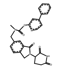 CN(Cc1ccc2c(c1)C(=O)N(C1CCC(=O)NC1=O)C2)C(=O)Oc1cc(-c2ccccc2)ccn1